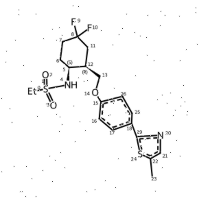 CCS(=O)(=O)N[C@H]1CCC(F)(F)C[C@H]1COc1ccc(-c2ncc(C)s2)cc1